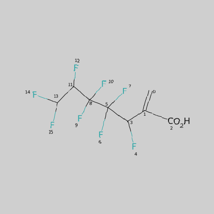 C=C(C(=O)O)C(F)C(F)(F)C(F)(F)C(F)C(F)F